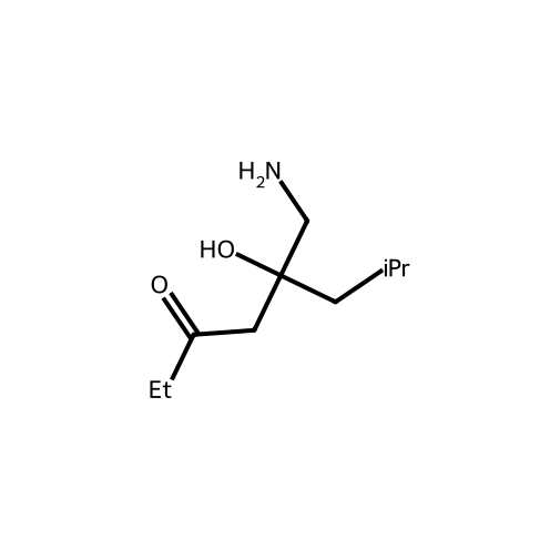 CCC(=O)CC(O)(CN)CC(C)C